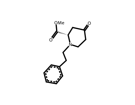 COC(=O)[C@@H]1CC(=O)CCN1CCc1ccccc1